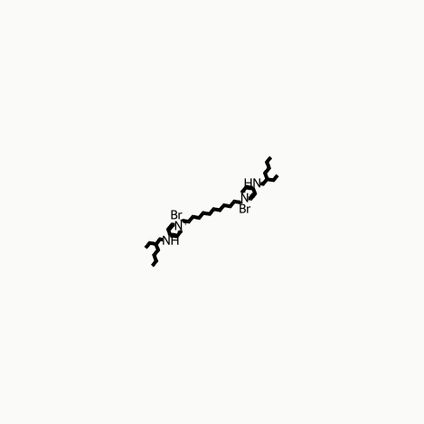 CCCCC(CC)CNc1cc[n+](C(Br)CCCCCCCCCCC(Br)[n+]2ccc(NCC(CC)CCCC)cc2)cc1